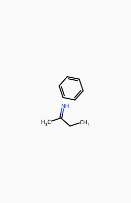 CCC(C)=N.c1ccccc1